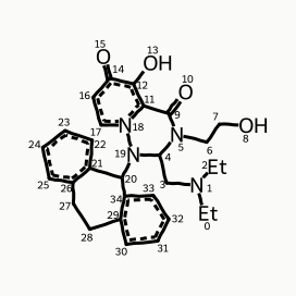 CCN(CC)CC1N(CCO)C(=O)c2c(O)c(=O)ccn2N1C1c2ccccc2CCc2ccccc21